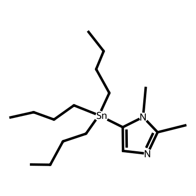 CCC[CH2][Sn]([CH2]CCC)([CH2]CCC)[c]1cnc(C)n1C